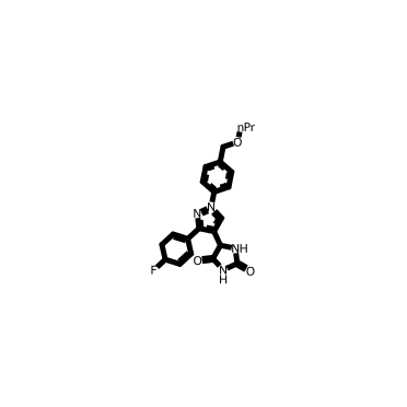 CCCOCc1ccc(-n2cc(C3NC(=O)NC3=O)c(C3=CCC(F)C=C3)n2)cc1